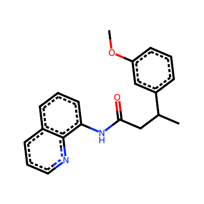 COc1cccc(C(C)CC(=O)Nc2cccc3cccnc23)c1